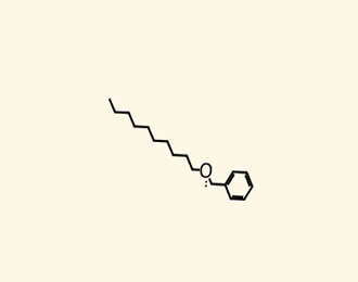 CCCCCCCCCCO[C]c1ccccc1